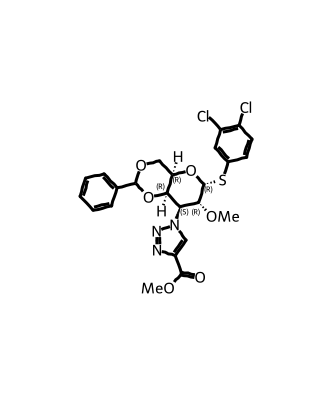 COC(=O)c1cn([C@@H]2[C@@H](OC)[C@@H](Sc3ccc(Cl)c(Cl)c3)O[C@@H]3COC(c4ccccc4)O[C@H]23)nn1